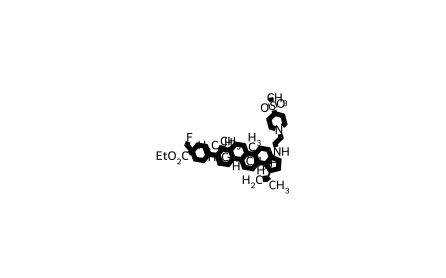 C=C(C)[C@@H]1CC[C@]2(NCCN3CCC(S(C)(=O)=O)CC3)CC[C@]3(C)[C@H](CC[C@@H]4[C@@]5(C)CC=C(C6=CCC(CF)(C(=O)OCC)CC6)C(C)(C)[C@@H]5CC[C@]43C)[C@@H]12